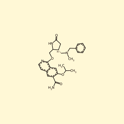 CC(C)Oc1cc2c(OCC3NC(=O)C[C@@H]3CN(C)Cc3ccccc3)nccc2cc1C(N)=O